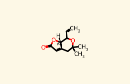 C=CC1OC(C)(C)CC2=CC(=O)O[C@@H]21